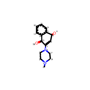 CN1CCN(C2=CC(=O)c3ccccc3C2=O)CC1